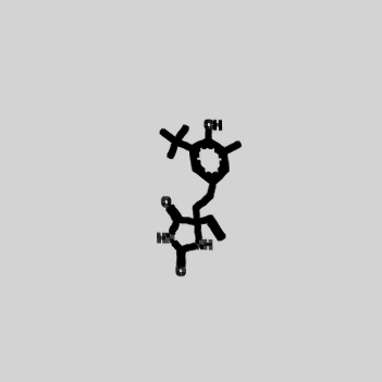 C=CC1(CCc2cc(C)c(O)c(C(C)(C)C)c2)NC(=O)NC1=O